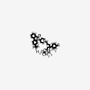 CC(C)(C)OC(=O)CC(C)(CCCN1CCC(NC(=O)c2ccccc2-c2ccc(C(F)(F)F)cc2)CC1)c1ccc(F)cc1